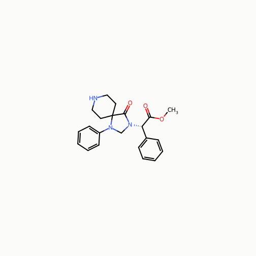 COC(=O)[C@H](c1ccccc1)N1CN(c2ccccc2)C2(CCNCC2)C1=O